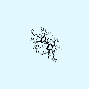 CC(C)c1cc(C(C)(C)c2cc(C(C)C)c(OCCCC3CO3)c(C(C)C)c2)cc(C(C)C)c1OCCCC1CO1